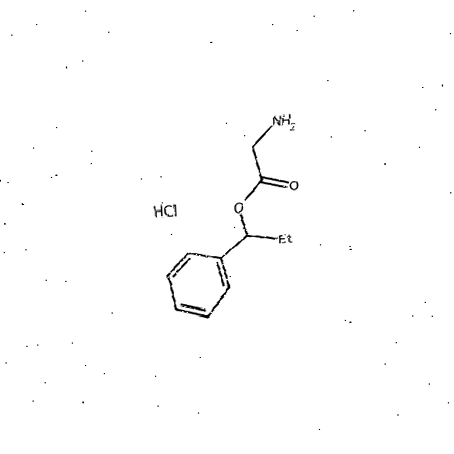 CCC(OC(=O)CN)c1ccccc1.Cl